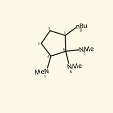 C[CH]CCC1CCC(NC)C1(NC)NC